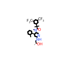 Cc1ccccc1-c1cc(NC[C@@H](C)O)ncc1N(C)C(=O)C(C)(C)c1cc(C(F)(F)F)cc(C(F)(F)F)c1